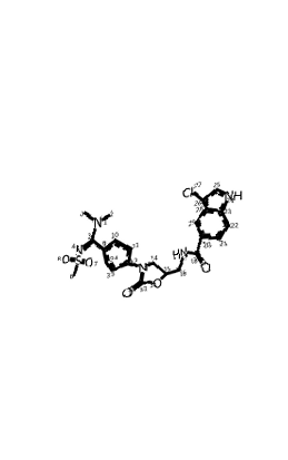 CN(C)/C(=N/S(C)(=O)=O)c1ccc(N2CC(CNC(=O)c3ccc4[nH]cc(Cl)c4c3)OC2=O)cc1